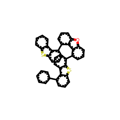 c1ccc(-c2cccc3sc4c(-c5cccc6oc7cccc(-c8cccc9sc%10ccccc%10c89)c7c56)cccc4c23)cc1